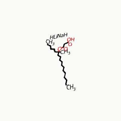 CCCCCCCCCCCCC(C)(CCCCCC)OC(=O)CC(=O)O.[LiH].[NaH]